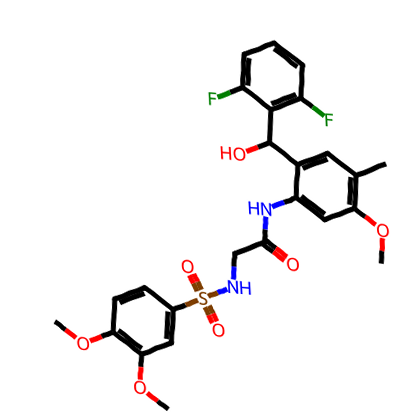 COc1cc(NC(=O)CNS(=O)(=O)c2ccc(OC)c(OC)c2)c(C(O)c2c(F)cccc2F)cc1C